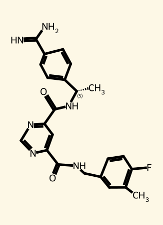 Cc1cc(CNC(=O)c2cc(C(=O)N[C@@H](C)c3ccc(C(=N)N)cc3)ncn2)ccc1F